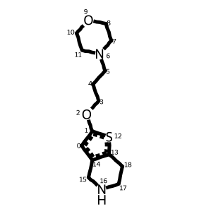 c1c(OCCCN2CCOCC2)sc2c1CNCC2